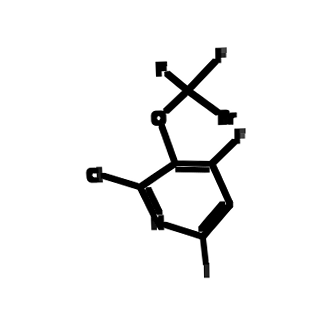 Fc1cc(I)nc(Cl)c1OC(F)(F)Br